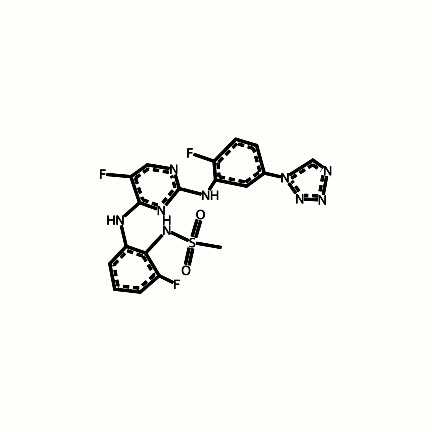 CS(=O)(=O)Nc1c(F)cccc1Nc1nc(Nc2cc(-n3cnnn3)ccc2F)ncc1F